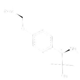 CCC[C@H](C)COc1ccc([C@@H](N)C(C)(C)O)cc1